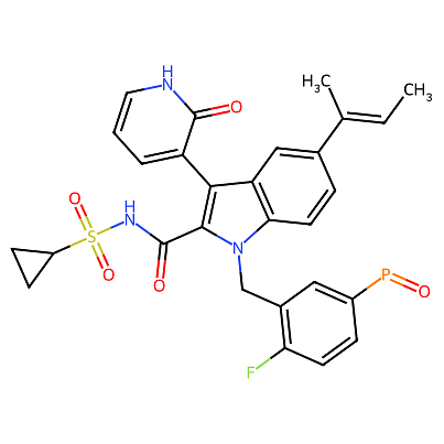 C/C=C(\C)c1ccc2c(c1)c(-c1ccc[nH]c1=O)c(C(=O)NS(=O)(=O)C1CC1)n2Cc1cc(P=O)ccc1F